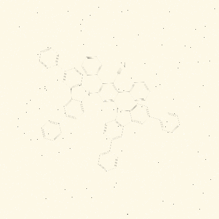 N#Cc1c(-c2ccccc2)c(-n2c3ccc(-c4ccccc4)cc3c3cc(-c4ccccc4)ccc32)cc(-n2c3ccc(-c4ccccc4)cc3c3cc(-c4ccccc4)ccc32)c1-c1ccccc1